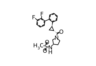 CS(=O)(=O)N[C@@H]1CCN(C(=O)[C@@H]2C[C@H]2c2ccccc2-c2cccc(F)c2F)C1